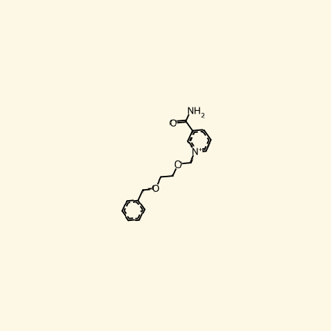 NC(=O)c1ccc[n+](COCCOCc2ccccc2)c1